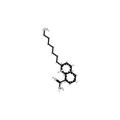 CCCCCCCCc1ccc2cccc(C(N)=O)c2n1